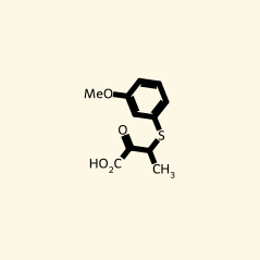 COc1cccc(SC(C)C(=O)C(=O)O)c1